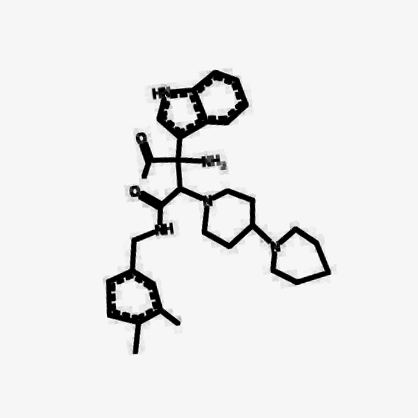 CC(=O)C(N)(c1c[nH]c2ccccc12)C(C(=O)NCc1ccc(C)c(C)c1)N1CCC(N2CCCCC2)CC1